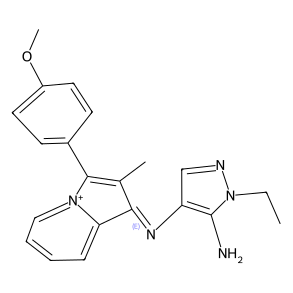 CCn1ncc(/N=C2\C(C)=C(c3ccc(OC)cc3)[n+]3ccccc32)c1N